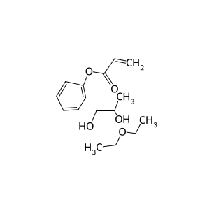 C=CC(=O)Oc1ccccc1.CC(O)CO.CCOCC